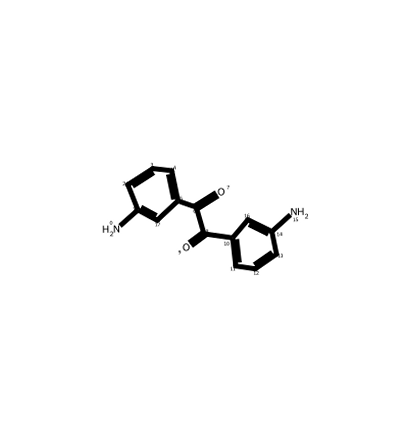 Nc1cccc(C(=O)C(=O)c2cccc(N)c2)c1